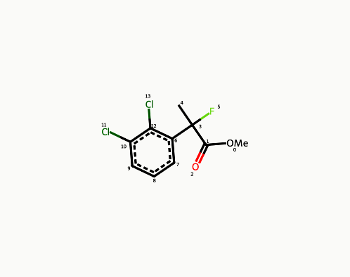 COC(=O)C(C)(F)c1cccc(Cl)c1Cl